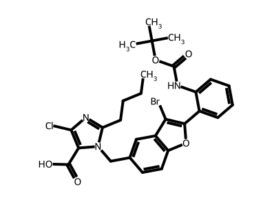 CCCCc1nc(Cl)c(C(=O)O)n1Cc1ccc2oc(-c3ccccc3NC(=O)OC(C)(C)C)c(Br)c2c1